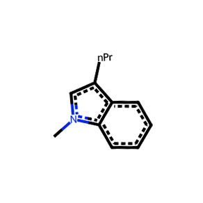 [CH2]CCc1cn(C)c2ccccc12